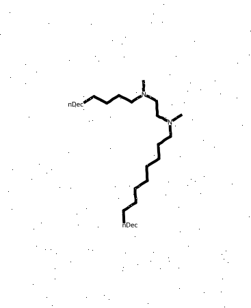 CCCCCCCCCCCCCCCCCCN(C)CCN(C)CCCCCCCCCCCCCC